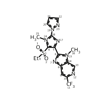 CCS(=O)(=O)c1c(-c2nc3cc(C(F)(F)F)ncc3n2C)nc(-n2cccn2)n1C